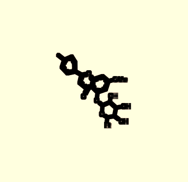 CCC1OC(Oc2cc(OC)cc3oc(-c4ccc(C)cc4)cc(=O)c23)C(O)C(O)C1O